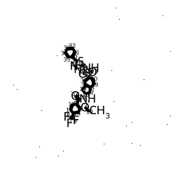 CCOc1cc(C(F)(F)F)ccc1C(=O)NC1Cc2ccc(S(=O)(=O)Nc3nnc(-c4ccccc4)s3)cc2C1